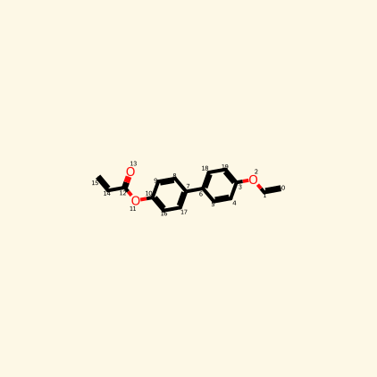 C=COc1ccc(-c2ccc(OC(=O)C=C)cc2)cc1